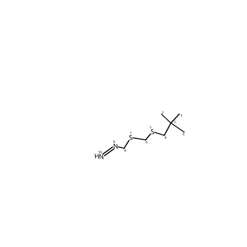 CC(C)(C)CSCSCN=N